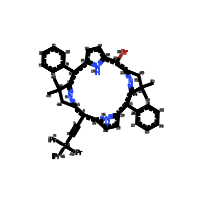 CC(C)[Si](C#Cc1c2nc(c(-c3ccccc3)c3ccc([nH]3)c(Br)c3nc(c(-c4ccccc4)c4ccc1[nH]4)C(C)(C)C3)C(C)(C)C2)(C(C)C)C(C)C